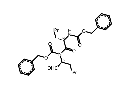 CC(C)C[C@H](NC(=O)OCc1ccccc1)C(=O)N(C(=O)OCc1ccccc1)[C@H]([C]=O)CC(C)C